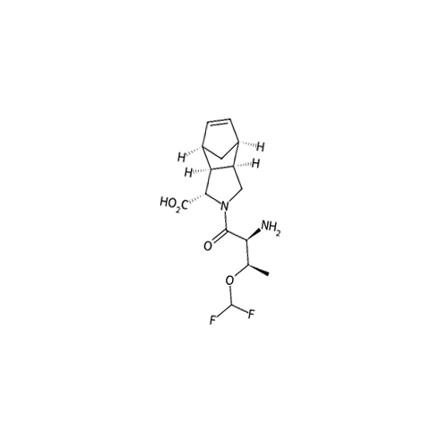 C[C@@H](OC(F)F)[C@H](N)C(=O)N1C[C@H]2[C@@H]([C@H]1C(=O)O)[C@H]1C=C[C@@H]2C1